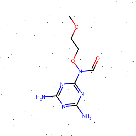 COCCON(C=O)c1nc(N)nc(N)n1